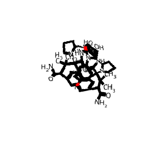 CC1(C)C(C(N)=O)c2cccc(c2)[C@@]1(C(=O)NC(=O)O)N1CCCC1[C@H]1CC[C@H](C2CCCN2[C@]2(C(=O)NC(=O)O)c3cccc(c3)C(C(N)=O)C2(C)C)N1c1ccc(F)cc1